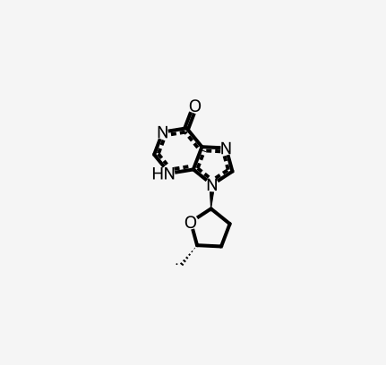 [CH2][C@H]1CC[C@H](n2cnc3c(=O)nc[nH]c32)O1